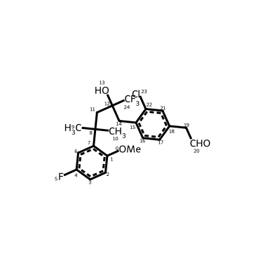 COc1ccc(F)cc1C(C)(C)CC(O)(Cc1ccc(CC=O)cc1Cl)C(F)(F)F